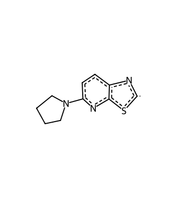 [c]1nc2ccc(N3CCCC3)nc2s1